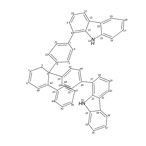 C1=CCC(c2ccc(-c3cccc4c3[nH]c3ccccc34)cc2)(c2ccc(-c3cccc4c3[nH]c3ccccc34)cc2)C(c2ccccc2)=C1